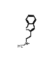 ONCCc1cc2ccccc2s1